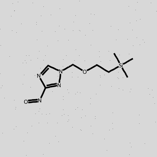 C[Si](C)(C)CCOCn1cnc(N=O)n1